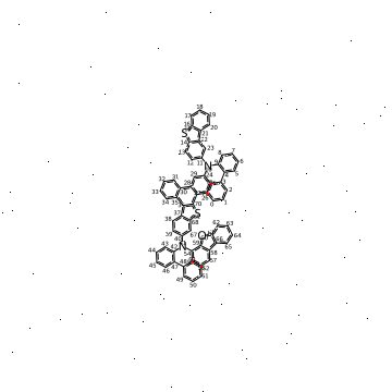 c1ccc(-c2ccccc2N(c2ccc3sc4ccccc4c3c2)c2ccc3c(c2)c2ccccc2c2c4ccc(N(c5ccccc5-c5ccccc5)c5cccc6c5oc5ccccc56)cc4sc32)cc1